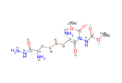 CC(C)(C)OC(=O)NN(C(=O)OC(C)(C)C)C(=O)[C@@H](N)CSSCC(N)C(=O)NN